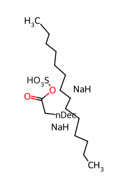 CCCCCCCCCCCC(=O)OS(=O)(=O)O.CCCCCCCCCCCCCC.[NaH].[NaH]